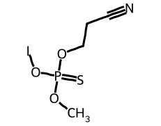 COP(=S)(OI)OCCC#N